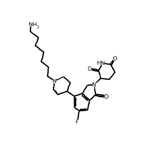 NCCCCCCCN1CCC(c2cc(F)cc3c2CN(C2CCC(=O)NC2=O)C3=O)CC1